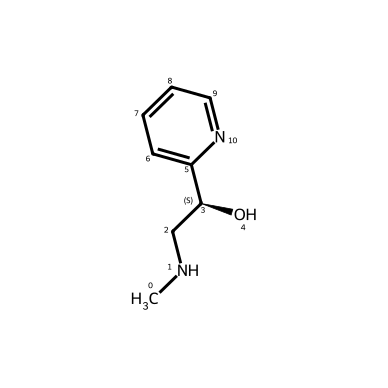 CNC[C@H](O)c1ccccn1